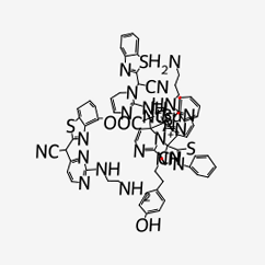 CC(C)(C)C(NC1=NC=CCN1C(C#N)c1nc2ccccc2s1)(C(=O)[O-])C1(CC#N)C=CN=C(NCCc2ccc(O)cc2)[N+]1(c1nc2ccccc2s1)C(C#N)(c1ccnc(NCCCN)n1)c1nc2ccccc2s1.N#CC(c1ccnc(NCCN)n1)c1nc2ccccc2s1